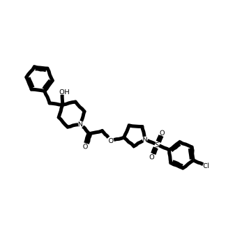 O=C(COC1CCN(S(=O)(=O)c2ccc(Cl)cc2)C1)N1CCC(O)(Cc2ccccc2)CC1